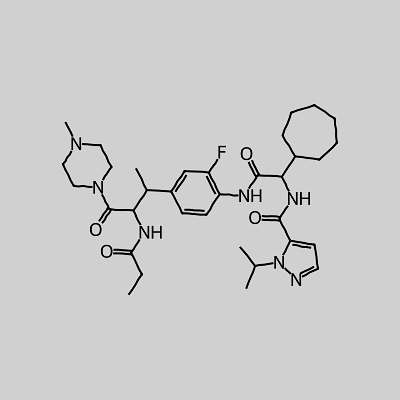 CCC(=O)NC(C(=O)N1CCN(C)CC1)C(C)c1ccc(NC(=O)C(NC(=O)c2ccnn2C(C)C)C2CCCCCC2)c(F)c1